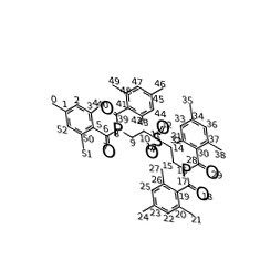 Cc1cc(C)c(C(=O)P(CCS(=O)(=O)CCP(C(=O)c2c(C)cc(C)cc2C)C(=O)c2c(C)cc(C)cc2C)C(=O)c2c(C)cc(C)cc2C)c(C)c1